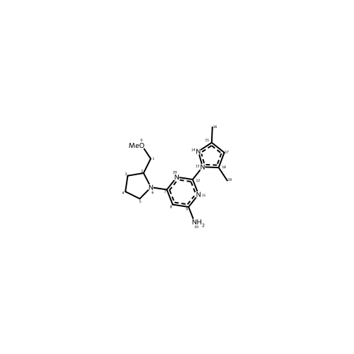 COCC1CCCN1c1cc(N)nc(-n2nc(C)cc2C)n1